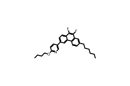 CCCCCCc1ccc2c(c1)c(F)c(F)c1ccc(-c3ccc(OCCCC)nc3)cc12